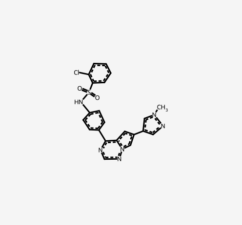 Cn1cc(-c2cc3c(-c4ccc(NS(=O)(=O)c5ccccc5Cl)cc4)ncnn3c2)cn1